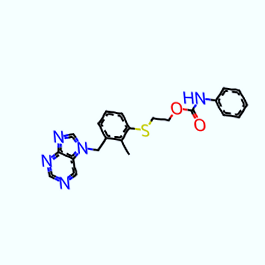 Cc1c(Cn2cnc3ncncc32)cccc1SCCOC(=O)Nc1ccccc1